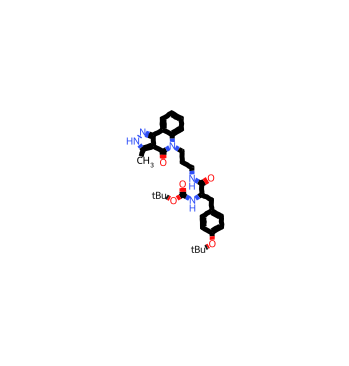 Cc1[nH]nc2c1c(=O)n(CCCNC(=O)C(Cc1ccc(OC(C)(C)C)cc1)NC(=O)OC(C)(C)C)c1ccccc21